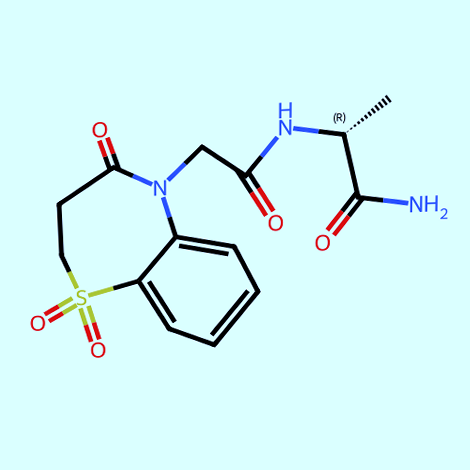 C[C@@H](NC(=O)CN1C(=O)CCS(=O)(=O)c2ccccc21)C(N)=O